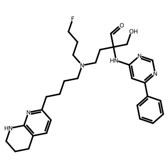 O=CC(CO)(CCN(CCCF)CCCCc1ccc2c(n1)NCCC2)Nc1cc(-c2ccccc2)ncn1